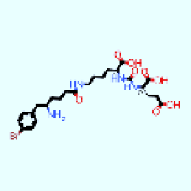 NC(CCCC(=O)NCCCC[C@H](NC(=O)N[C@@H](CCC(=O)O)C(=O)O)C(=O)O)Cc1ccc(Br)cc1